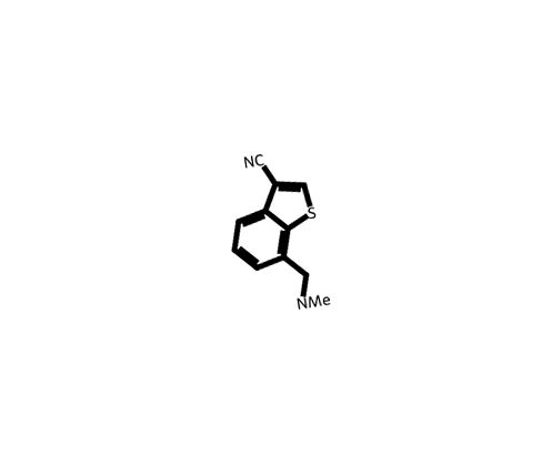 CNCc1cccc2c(C#N)csc12